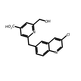 O=C(O)c1cc(CO)nc(Cc2ccc3ncc(Cl)cc3c2)c1